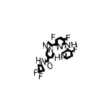 O=C(NC1CC(F)(F)C1)c1ccn2c(-c3nc(NC4CNCCC4F)c(F)cc3F)cnc2c1